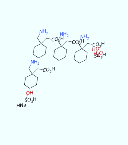 NCC1(CC(=O)O)CCCCC1.NCC1(CC(=O)O)CCCCC1.NCC1(CC(=O)O)CCCCC1.NCC1(CC(=O)O)CCCCC1.O.O=S(=O)(O)O.O=S(=O)(O)O.[NaH]